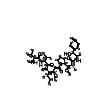 C#C/C=C\C(=C/C)[C@H](O)[C@@H](C)NC(=O)[C@H](C)[C@@H](OC)[C@@H]1CCCN1C(=O)C[C@@H](OC)[C@H]([C@@H](C)CC)N(C)C(=O)C(NC(=O)[C@@H](NC)C(C)C)C(C)C